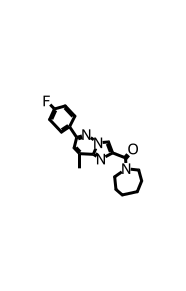 Cc1cc(-c2ccc(F)cc2)nn2cc(C(=O)N3CCCCCC3)nc12